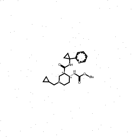 CC(C)(C)OC(=O)N[C@@H]1CCN(CC2CC2)C[C@H]1C(=O)NC1(c2ccccn2)CC1